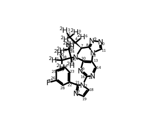 [2H]C([2H])([2H])C([2H])([2H])[C@H]1c2nncn2-c2cnc(-n3ccnc3-c3cccc(F)c3)nc2N1C([2H])(C([2H])([2H])[2H])C([2H])([2H])[2H]